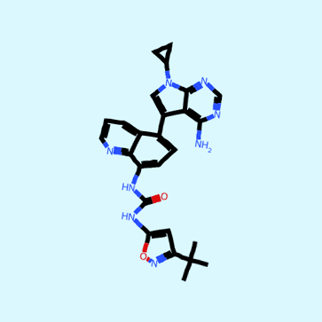 CC(C)(C)c1cc(NC(=O)Nc2ccc(-c3cn(C4CC4)c4ncnc(N)c34)c3cccnc23)on1